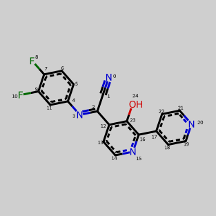 N#C/C(=N\c1ccc(F)c(F)c1)c1ccnc(-c2ccncc2)c1O